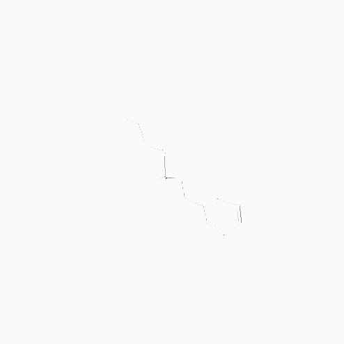 O=C(O)CONC(=O)OCc1ccccc1